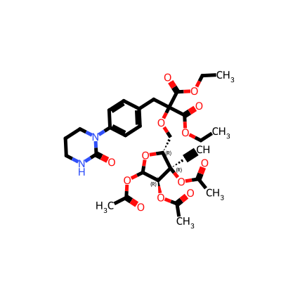 C#C[C@@]1(OC(C)=O)[C@@H](COC(Cc2ccc(N3CCCNC3=O)cc2)(C(=O)OCC)C(=O)OCC)OC(OC(C)=O)[C@@H]1OC(C)=O